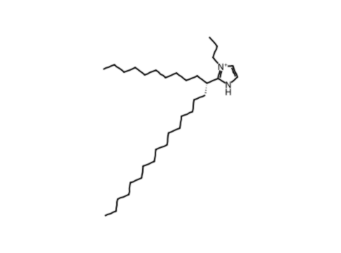 CCCCCCCCCCCCCCCC[C@H](CCCCCCCCCC)c1[nH]cc[n+]1CCC